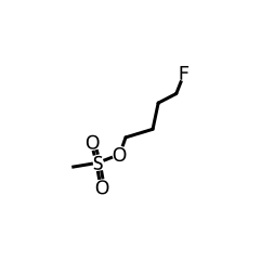 CS(=O)(=O)OCCCCF